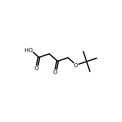 CC(C)(C)OCC(=O)CC(=O)O